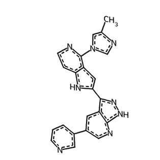 Cc1cn(-c2nccc3[nH]c(-c4n[nH]c5ncc(-c6cccnc6)cc45)cc23)cn1